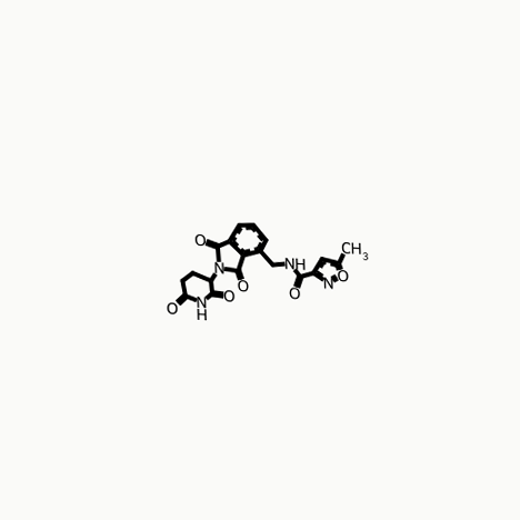 Cc1cc(C(=O)NCc2cccc3c2C(=O)N(C2CCC(=O)NC2=O)C3=O)no1